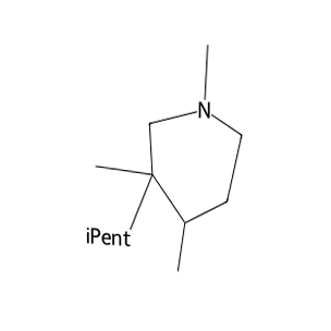 CCCC(C)C1(C)CN(C)CCC1C